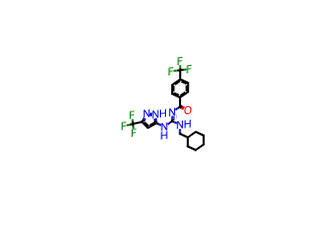 O=C(/N=C(\NCC1CCCCC1)Nc1cc(C(F)(F)F)n[nH]1)c1ccc(C(F)(F)F)cc1